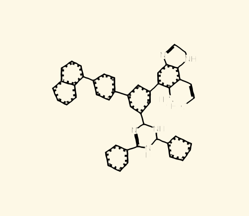 C/C=C\c1c(N)c(-c2cc(-c3ccc(-c4cccc5ccccc45)cc3)cc(C3N=C(c4ccccc4)NC(c4ccccc4)N3)c2)cc2c1NCC=N2